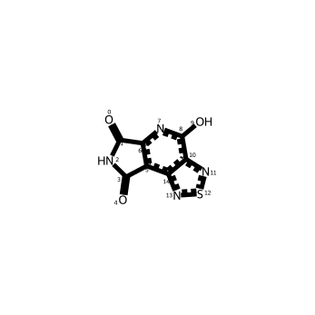 O=C1NC(=O)c2c1nc(O)c1nsnc21